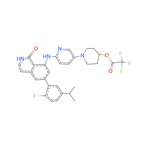 CC(C)c1ccc(F)c(-c2cc(Nc3ccc(N4CCC(OC(=O)C(F)(F)F)CC4)cn3)c3c(=O)[nH]ccc3c2)c1